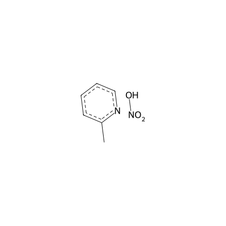 Cc1ccccn1.O=[N+]([O-])O